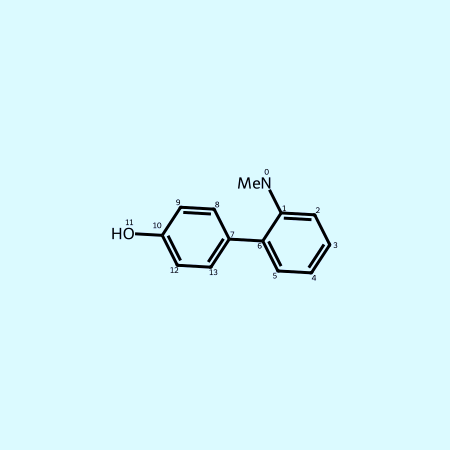 CNc1ccccc1-c1ccc(O)cc1